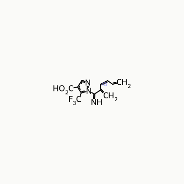 C=C/C=C\C(=C)C(=N)n1ncc(C(=O)O)c1C(F)(F)F